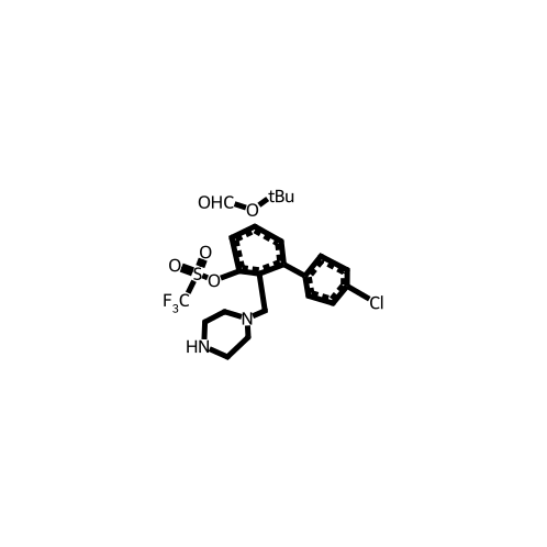 CC(C)(C)OC=O.O=S(=O)(Oc1cccc(-c2ccc(Cl)cc2)c1CN1CCNCC1)C(F)(F)F